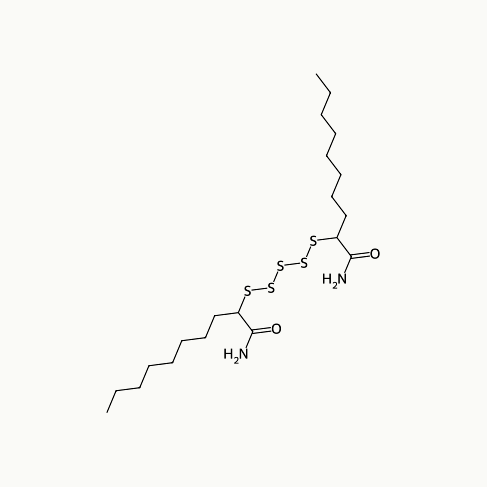 CCCCCCCCC(SSSSSC(CCCCCCCC)C(N)=O)C(N)=O